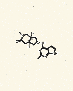 Cc1nc(N[C@@H]2C[C@@H]3CC(=O)N(C)C[C@@H]3C2)c2cc[nH]c2n1